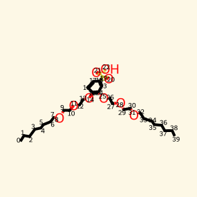 CCCCCCCCOCCOCCOc1ccc(S(=O)(=O)O)cc1OCCOCCOCCCCCCCC